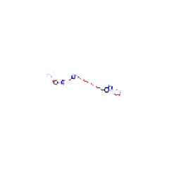 CC(C)NC(=O)O[C@@H]1CC[C@H](c2cc(NC(=O)c3cnn(CCOCCOCCOCCCc4ccn5c(N6CCC(=O)NC6=O)cnc5c4)c3)n[nH]2)C1